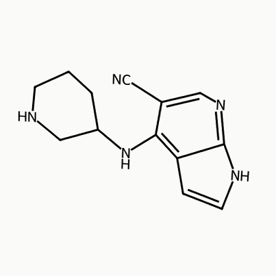 N#Cc1cnc2[nH]ccc2c1NC1CCCNC1